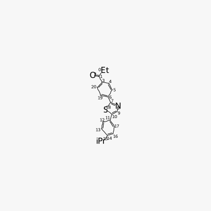 CCC(=O)c1ccc(-c2ncc(-c3ccc(C(C)C)cc3)s2)cc1